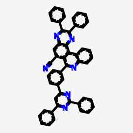 N#Cc1cc2nc(-c3ccccc3)c(-c3ccccc3)nc2c2c1c(-c1cccc(-c3cc(-c4ccccc4)nc(-c4ccccc4)n3)c1)nc1ccccc12